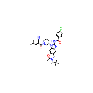 CC(=O)N(Cc1ccc2c(c1)nc(NC(=O)c1ccc(Cl)cc1)n2C1CCCN(C(=O)C(C#N)=CC(C)C)C1)[C@@H](C)C(C)(C)C